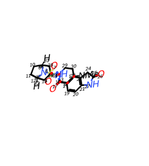 CNC1CCN(S(=O)(=O)N2[C@@H]3CC[C@H]2C[C@@H](NC(=O)c2ccc4c(c2)CC(=O)N4)C3)CC1